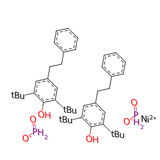 CC(C)(C)c1cc(CCc2ccccc2)cc(C(C)(C)C)c1O.CC(C)(C)c1cc(CCc2ccccc2)cc(C(C)(C)C)c1O.O=[PH2][O-].O=[PH2][O-].[Ni+2]